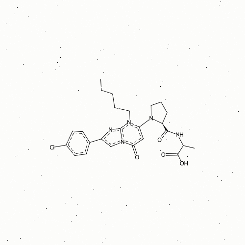 CCCCCn1c(N2CCC[C@H]2C(=O)NC(C)C(=O)O)cc(=O)n2cc(-c3ccc(Cl)cc3)nc12